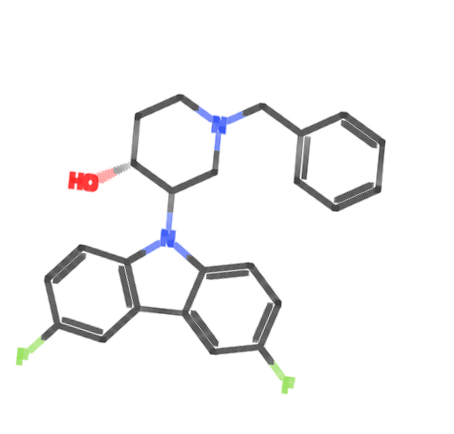 O[C@@H]1CCN(Cc2ccccc2)CC1n1c2ccc(F)cc2c2cc(F)ccc21